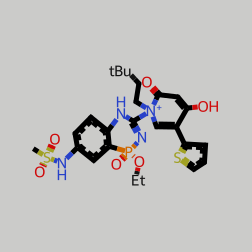 CCOP1(=O)N=C([N+]2(CCC(C)(C)C)C=C(c3cccs3)C(O)=CC2=O)Nc2ccc(NS(C)(=O)=O)cc21